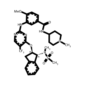 COc1ccc(C(=O)NC2CCN(C)CC2)cc1Nc1ncc(C(F)(F)F)c(O[C@@H]2Cc3ccccc3[C@H]2N(C)S(C)(=O)=O)n1